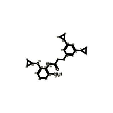 O=C(CCc1cc(C2CC2)cc(C2CC2)c1)Nc1c(OC2CC2)cccc1C(=O)O